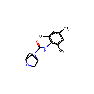 Cc1cc(C)c(NC(=O)N2CC3CC2CN3)c(C)c1